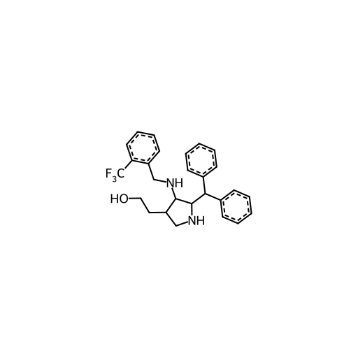 OCCC1CNC(C(c2ccccc2)c2ccccc2)C1NCc1ccccc1C(F)(F)F